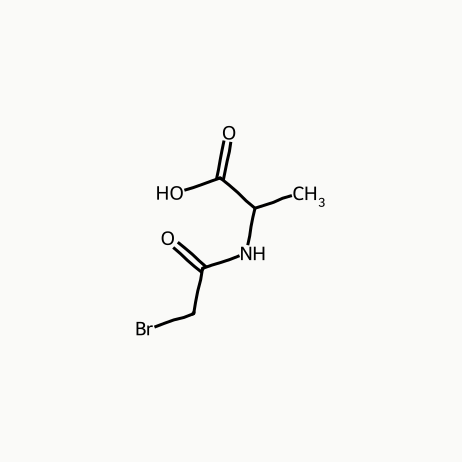 CC(NC(=O)CBr)C(=O)O